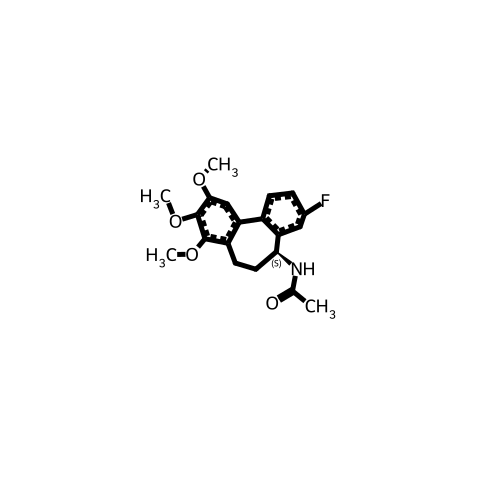 COc1cc2c(c(OC)c1OC)CC[C@H](NC(C)=O)c1cc(F)ccc1-2